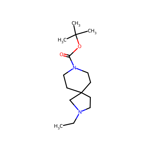 CCN1CCC2(CCN(C(=O)OC(C)(C)C)CC2)C1